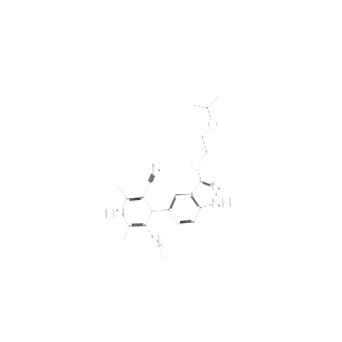 [C-]#[N+]C1=C(C)NC(C)=C(C#N)C1c1ccc2[nH]nc(OCCOC(C)C)c2c1